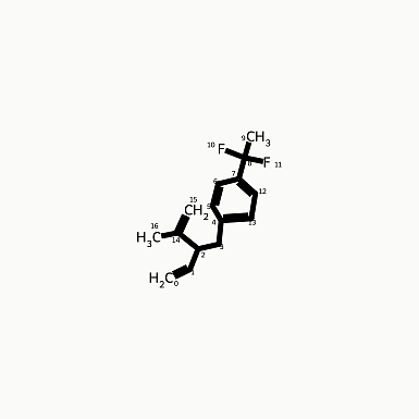 C=CC(Cc1ccc(C(C)(F)F)cc1)C(=C)C